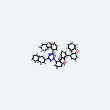 c1ccc2cc(-c3nc(-c4cccc5oc6c(-c7cccc8oc9ccccc9c78)cccc6c45)nc(-c4cccc5sc6ccccc6c45)n3)ccc2c1